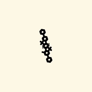 Cc1cc(-c2ccccc2)cc2c1-c1nc3c(nc1C2(C)C)-c1ccc(-c2ccccc2)cc1C3(C)C